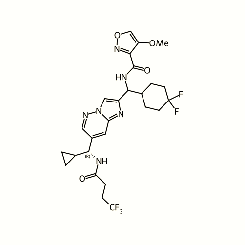 COc1conc1C(=O)NC(c1cn2ncc([C@H](NC(=O)CCC(F)(F)F)C3CC3)cc2n1)C1CCC(F)(F)CC1